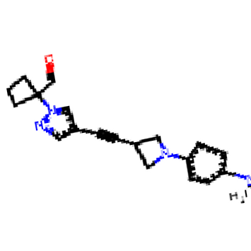 CNc1ccc(N2CC(C#Cc3cnn(C4(C=O)CCC4)c3)C2)cc1